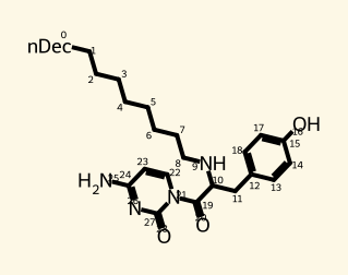 CCCCCCCCCCCCCCCCCCNC(Cc1ccc(O)cc1)C(=O)n1ccc(N)nc1=O